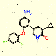 Cn1cc(-c2cc(N)ccc2Oc2ccc(F)cc2F)cc(C2CC2)c1=O